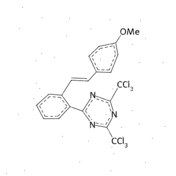 COc1ccc(C=Cc2ccccc2-c2nc(C(Cl)(Cl)Cl)nc(C(Cl)(Cl)Cl)n2)cc1